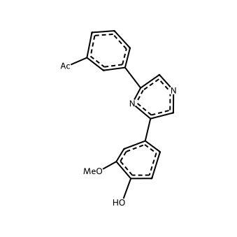 COc1cc(-c2cncc(-c3cccc(C(C)=O)c3)n2)ccc1O